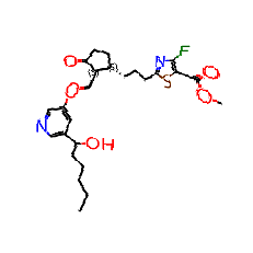 CCCCCC(O)c1cncc(OC[C@H]2C(=O)CC[C@@H]2CCCc2nc(F)c(C(=O)OC)s2)c1